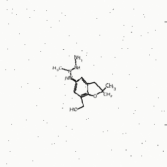 CN(NN)Nc1cc(CO)c2c(c1)CC(C)(C)O2